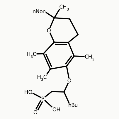 CCCCCCCCCC1(C)CCc2c(C)c(OC(CCCC)CP(=O)(O)O)c(C)c(C)c2O1